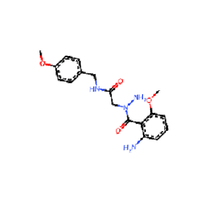 COc1ccc(CNC(=O)CN(N)C(=O)c2c(N)cccc2OC)cc1